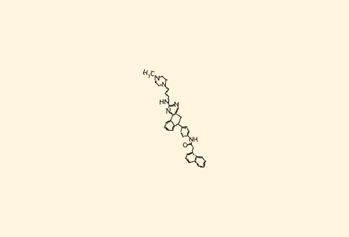 CN1CCN(CCCNc2ncc3c(n2)-c2ccccc2C(c2ccc(NC(=O)Cc4cccc5ccccc45)cc2)C3)CC1